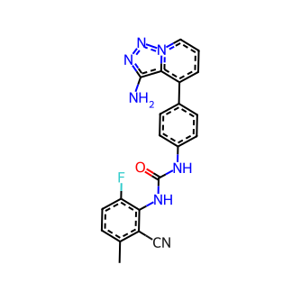 Cc1ccc(F)c(NC(=O)Nc2ccc(-c3cccn4nnc(N)c34)cc2)c1C#N